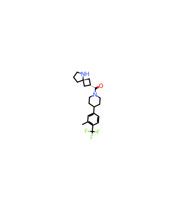 Cc1cc(C2CCN(C(=O)[C@H]3C[C@]4(CCCN4)C3)CC2)ccc1C(F)(F)F